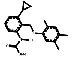 COC(=O)N(O)c1cccc(C2CC2)c1COc1cc(C)c(C)cc1F